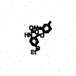 CCOc1ccc(NC(=O)OC)c(COc2ccc(C)cc2C)c1